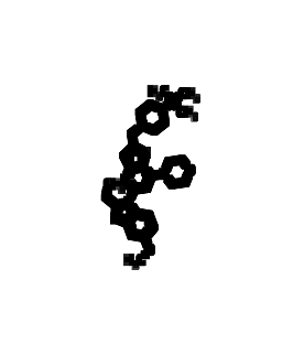 CCc1nc2cc(OC)ccc2n1-c1cc(N2CCOCC2)n2nc(CN3CCN(C(C)(C)C)CC3)cc2n1